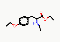 CCNC(Cc1ccc(OCC)cc1)C(=O)OCC